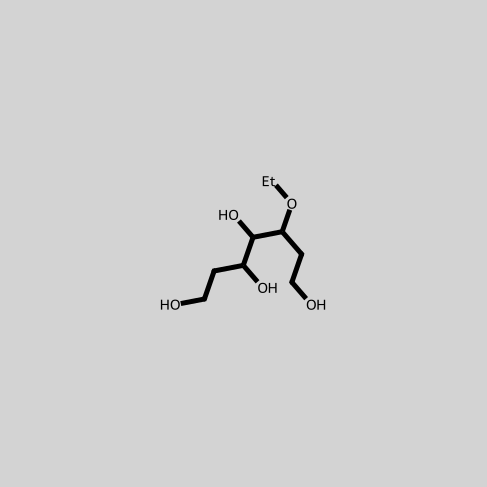 CCOC(CCO)C(O)C(O)CCO